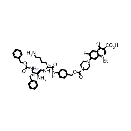 CCn1cc(C(=O)O)c(=O)c2cc(F)c(N3CCN(C(=O)OCc4ccc(NC(=O)[C@H](CCCCN)N/C=C(\N)[C@H](Cc5ccccc5)NC(=O)OCc5ccccc5)cc4)CC3)cc21